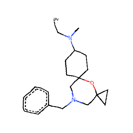 CC(C)CN(C)C1CCC2(CC1)CN(Cc1ccccc1)CC1(CC1)O2